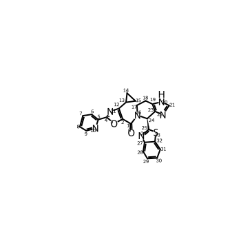 O=C(c1oc(-c2ccccn2)nc1C1CC1)N1CCc2[nH]cnc2[C@H]1c1nc2ccccc2s1